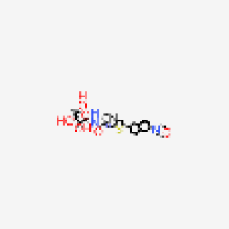 C[C@H]1C(O)O[C@H](CNC(=O)/C(C#N)=C/c2ccc(-c3ccc4cc(N5CCOCC5)ccc4c3)s2)[C@@H](O)[C@@H]1O